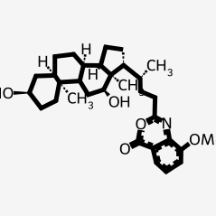 COc1cccc2c(=O)oc(CC[C@@H](C)[C@H]3CC[C@H]4[C@@H]5CC[C@@H]6C[C@H](O)CC[C@]6(C)C5C[C@H](O)[C@]34C)nc12